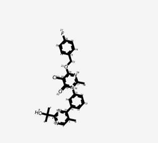 Cc1cnc(C(C)(C)O)nc1-c1cccc(-n2c(C)nc(OCc3ccc(F)cc3)c(Cl)c2=O)c1